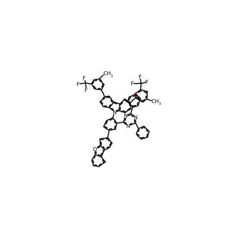 Cc1cc(-c2ccc3c(c2)c2cc(-c4cc(C)cc(C(F)(F)F)c4)ccc2n3-c2ccc(-c3ccc4c(c3)oc3ccccc34)cc2-c2nc(-c3ccccc3)nc(-c3ccccc3)n2)cc(C(F)(F)F)c1